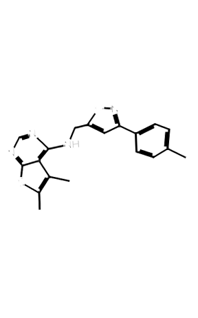 Cc1ccc(-c2cc(CNc3ncnc4sc(C)c(C)c34)on2)cc1